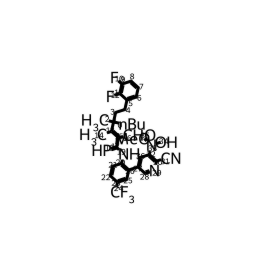 CCCCC(C)(CCc1cccc(F)c1F)/C(C)=C(\C=O)C(=P)Nc1ccc(C(F)(F)F)cc1-c1cnc(C#N)c(N(O)OC)c1